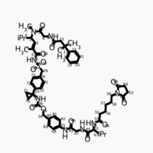 C/C(=C\C(C(C)C)N(C)C(=O)CNC(=O)CC(C)(C)c1ccccc1)C(=O)NS(=O)(=O)Cc1ccc(C2(NC(=O)OCc3ccc(NC(=O)CNC(=O)C(NC(=O)CCCCCN4C(=O)CCC4=O)C(C)C)cc3)CC2)cc1